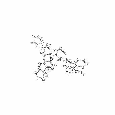 CC1(C)c2ccccc2-c2cc(-c3cccc(N(c4ccc(-c5ccccc5)cc4)c4ccc5c(c4)oc4ccccc45)c3)ccc21